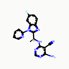 C[C@H](Nc1ncnc(N)c1C#N)c1nc2ccc(F)cc2n1-c1ccccn1